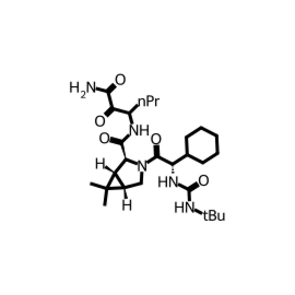 CCCC(NC(=O)[C@@H]1[C@@H]2[C@H](CN1C(=O)[C@@H](NC(=O)NC(C)(C)C)C1CCCCC1)C2(C)C)C(=O)C(N)=O